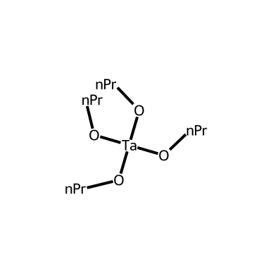 CCC[O][Ta]([O]CCC)([O]CCC)[O]CCC